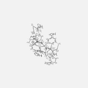 C[C@]12CC[C@@H]3c4c(cc(O)cc4C(CC(=O)O)(CC(=O)O)c4cc(O)cc5c4[C@H]4CC[C@]6(C)[C@H](O)CC[C@H]6[C@@H]4CC5)CC[C@H]3[C@@H]1CC[C@H]2O